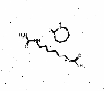 NC(=O)NCCCCCCNC(N)=O.O=C1CCCCCN1